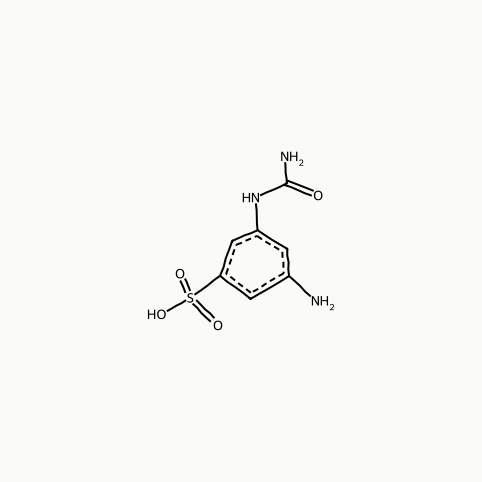 NC(=O)Nc1cc(N)cc(S(=O)(=O)O)c1